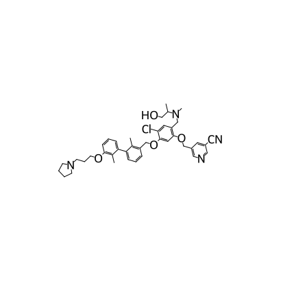 Cc1c(COc2cc(OCc3cncc(C#N)c3)c(CN(C)C(C)CO)cc2Cl)cccc1-c1cccc(OCCCN2CCCC2)c1C